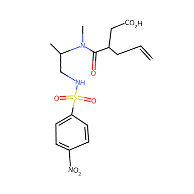 C=CCC(CC(=O)O)C(=O)N(C)C(C)CNS(=O)(=O)c1ccc([N+](=O)[O-])cc1